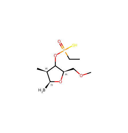 B[C@@H]1O[C@H](COC)C(OP(=O)(S)CC)[C@@H]1C